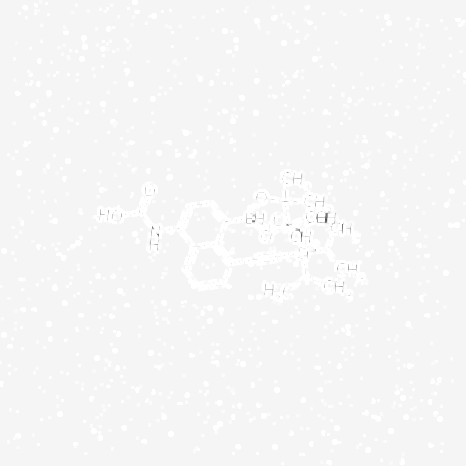 CC(C)[Si](C#Cc1cccc2c(NC(=O)O)ccc(B3OC(C)(C)C(C)(C)O3)c12)(C(C)C)C(C)C